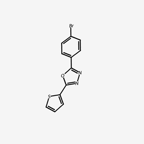 Brc1ccc(-c2nnc(-c3cccs3)o2)cc1